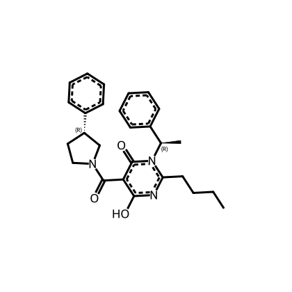 CCCCc1nc(O)c(C(=O)N2CC[C@H](c3ccccc3)C2)c(=O)n1[C@H](C)c1ccccc1